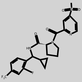 CS(=O)(=O)c1ccnc(C(=O)N2CCC[C@@H]2C(=O)NC(c2ccc(C(F)(F)F)cc2F)C2CC2)c1